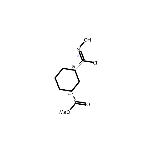 COC(=O)[C@@H]1CCC[C@H](/C(Cl)=N/O)C1